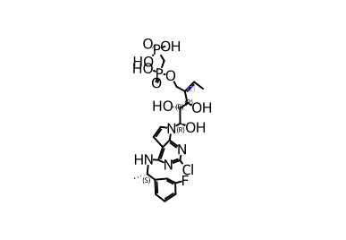 C/C=C(/COP(=O)(O)CP(=O)(O)O)[C@@H](O)[C@@H](O)[C@@H](O)n1ccc2c(N[C@@H](C)c3cccc(F)c3)nc(Cl)nc21